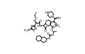 CC(OC(=O)OC1CCC2CCCCC2C1)OC(=O)C1=C(/C(=N\N)C(=N)N2CCNCC2)CSC2C(NC(=O)/C(=N\OCF)c3nsc(N)n3)C(=O)N12